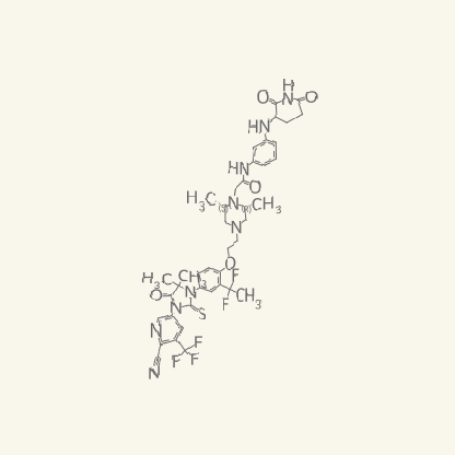 C[C@@H]1CN(CCOc2ccc(N3C(=S)N(c4cnc(C#N)c(C(F)(F)F)c4)C(=O)C3(C)C)cc2C(C)(F)F)C[C@H](C)N1CC(=O)Nc1cccc(NC2CCC(=O)NC2=O)c1